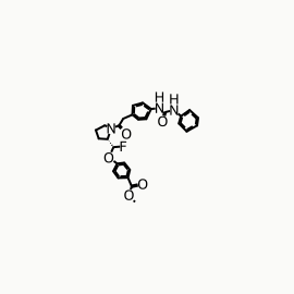 COC(=O)c1ccc(OC(F)[C@@H]2CCCN2C(=O)Cc2ccc(NC(=O)Nc3ccccc3)cc2)cc1